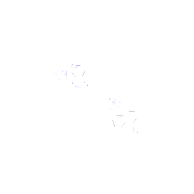 CN(C)c1cccc2c(S(=O)(=O)NCCCCn3cnc4c(N)nc5c(c43)CCCC5)cccc12